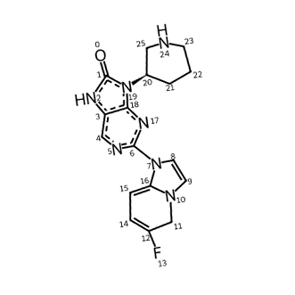 O=c1[nH]c2cnc(N3C=CN4CC(F)=CC=C43)nc2n1[C@@H]1CCCNC1